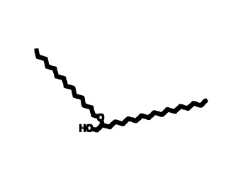 CCCCCCCCCCCCCCCCC(CO)OCCCCCCCCCCCCCC